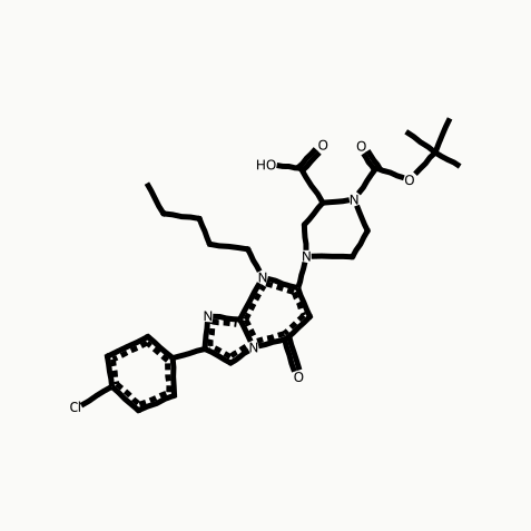 CCCCCn1c(N2CCN(C(=O)OC(C)(C)C)C(C(=O)O)C2)cc(=O)n2cc(-c3ccc(Cl)cc3)nc12